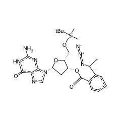 CC(N=[N+]=[N-])c1ccccc1C(=O)O[C@@H]1C[C@H](n2cnc3c(=O)[nH]c(N)nc32)O[C@@H]1CO[Si](C)(C)C(C)(C)C